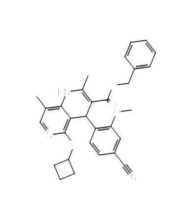 COc1cc(C#N)ccc1C1C(C(=O)OCc2ccccc2)=C(C)Nc2c(C)cnc(OC3CCC3)c21